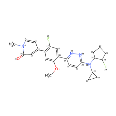 COc1cc(-c2ccn(C)c(=O)c2)c(F)cc1-c1ccc(N(C2CC2)C2CCCC2F)nn1